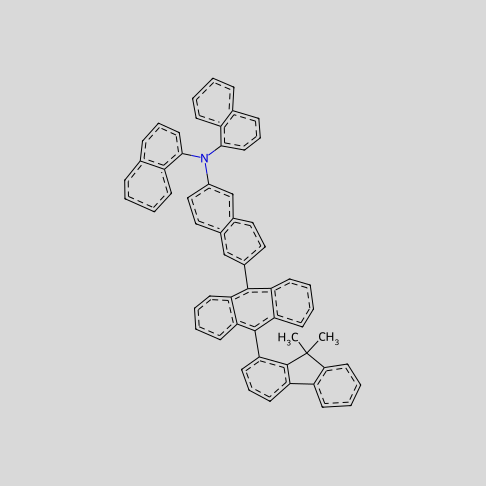 CC1(C)c2ccccc2-c2cccc(-c3c4ccccc4c(-c4ccc5cc(N(c6cccc7ccccc67)c6cccc7ccccc67)ccc5c4)c4ccccc34)c21